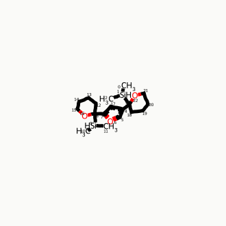 C[SiH](C)C1(c2coc(C3([SiH](C)C)CCCCO3)c2)CCCCO1